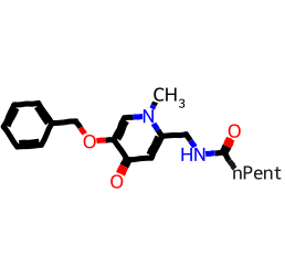 CCCCCC(=O)NCc1cc(=O)c(OCc2ccccc2)cn1C